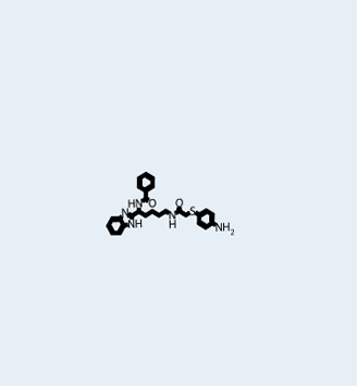 Nc1ccc(SCC(=O)NCCCCC(NC(=O)c2ccccc2)c2nc3ccccc3[nH]2)cc1